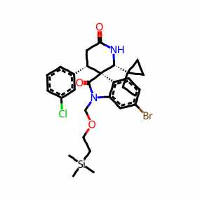 CCC1([C@H]2NC(=O)C[C@@H](c3cccc(Cl)c3)[C@]23C(=O)N(COCC[Si](C)(C)C)c2cc(Br)ccc23)CC1